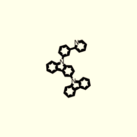 c1ccc(-c2cccc(-n3c4ccccc4c4cc(-n5c6ccccc6c6ccccc65)ccc43)c2)nc1